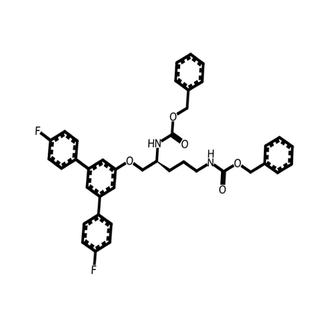 O=C(NCCC[C@@H](COc1cc(-c2ccc(F)cc2)cc(-c2ccc(F)cc2)c1)NC(=O)OCc1ccccc1)OCc1ccccc1